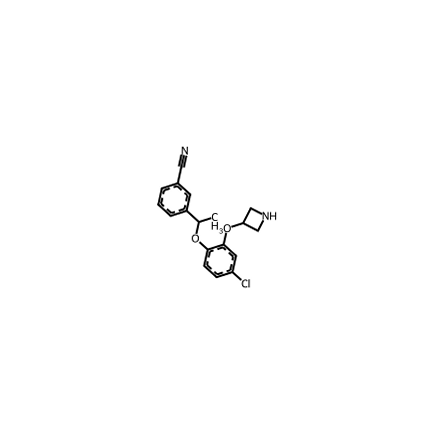 CC(Oc1ccc(Cl)cc1OC1CNC1)c1cccc(C#N)c1